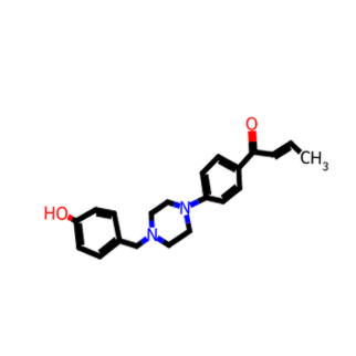 C/C=C/C(=O)c1ccc(N2CCN(Cc3ccc(O)cc3)CC2)cc1